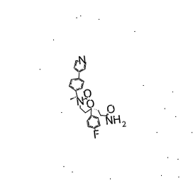 C[C@@H](c1ccc(-c2ccncc2)cc1)N1CC[C@](CCC(N)=O)(c2ccc(F)cc2)OC1=O